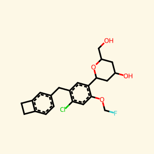 OCC1CC(O)CC(c2cc(Cc3ccc4c(c3)CC4)c(Cl)cc2OCF)O1